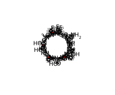 CCCC[C@H]1C(=O)N2C[C@H](O)C[C@@H]2C(=O)N[C@@H](CC(=O)O)C(=O)N[C@@H](C(C)C)C(=O)N(C)[C@@H](Cc2ccccc2)C(=O)N[C@@H](CCC(=O)O)C(=O)N2CCOC[C@@H]2C(=O)N[C@@H](Cc2c[nH]c3ccccc23)C(=O)N[C@@H](Cc2ccc(O)cc2)C(=O)N[C@@H](CC(C)C)C(=O)N[C@H](C(=O)NCC(N)=O)CSCC(=O)N[C@@H](Cc2cc(F)c(F)c(F)c2)C(=O)N(C)C(Cc2ccc(F)cc2)C(=O)N1C